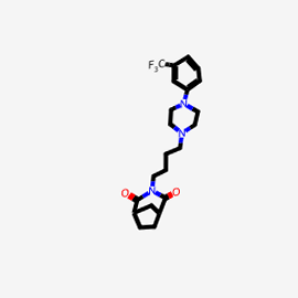 O=C1C2CCC(C2)C(=O)N1CCCCN1CCN(c2cccc(C(F)(F)F)c2)CC1